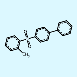 Cc1ccccc1S(=O)(=O)c1ccc(-c2ccccc2)cc1